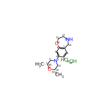 C[C@@H]1CN(c2ccc3c(c2)OCCNC3)C[C@H](C)O1.Cl.Cl